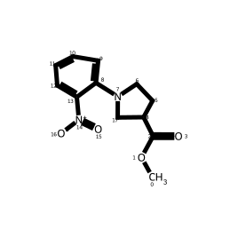 COC(=O)C1CCN(c2ccccc2[N+](=O)[O-])C1